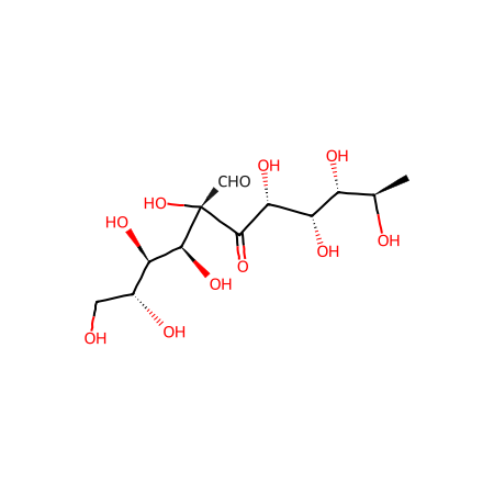 C[C@@H](O)[C@@H](O)[C@H](O)[C@@H](O)C(=O)[C@](O)(C=O)[C@@H](O)[C@H](O)[C@H](O)CO